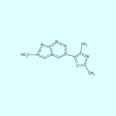 Cc1nc(C)c(-c2cnc3nc(C(=O)O)cn3c2)s1